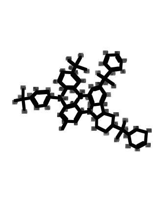 Cc1cc2c3c(c1)N1c4c(cc(C(C)(C)c5ccccc5)cc4C4CC(C(C)(C)C5CC=CCC5)CCC41)B3c1cc(C(C)(C)C)ccc1N2c1ccc(C(C)(C)C)cc1